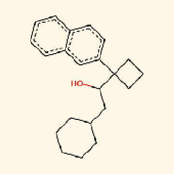 OC(CC1CCCCC1)C1(c2ccc3ccccc3c2)CCC1